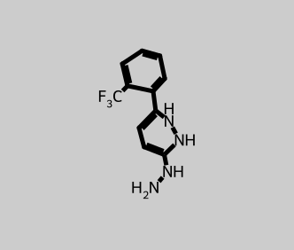 NNC1=CC=C(c2ccccc2C(F)(F)F)NN1